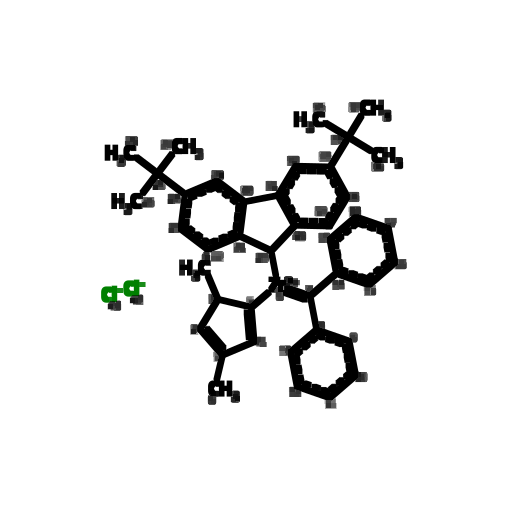 CC1=CC(C)[C]([Zr+2](=[C](c2ccccc2)c2ccccc2)[CH]2c3ccc(C(C)(C)C)cc3-c3cc(C(C)(C)C)ccc32)=C1.[Cl-].[Cl-]